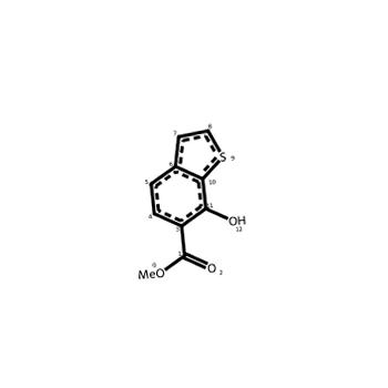 COC(=O)c1ccc2ccsc2c1O